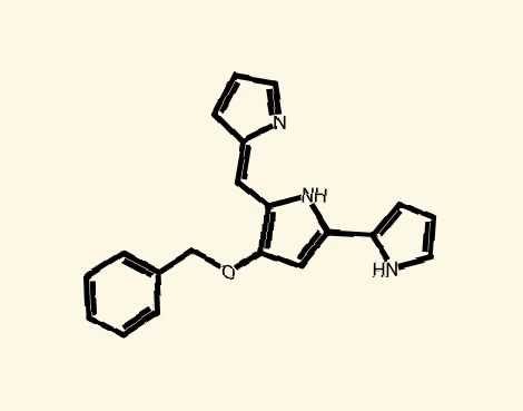 C1=CC(=Cc2[nH]c(-c3ccc[nH]3)cc2OCc2ccccc2)N=C1